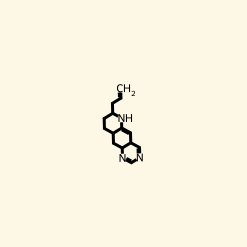 C=CCC1CCC2CC3N=CN=CC3C=C2N1